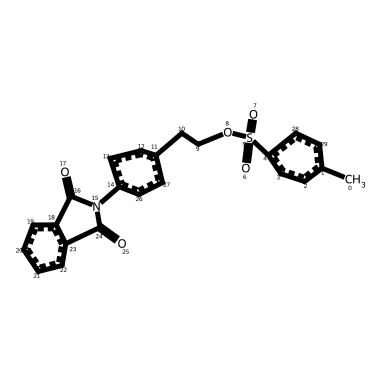 Cc1ccc(S(=O)(=O)OCCc2ccc(N3C(=O)c4ccccc4C3=O)cc2)cc1